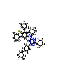 c1ccc(-c2ccc(-c3nc(-c4ccccc4)nc(-n4c5ccccc5c5c(-c6ccccc6)c6sc7ccccc7c6cc54)n3)cc2)cc1